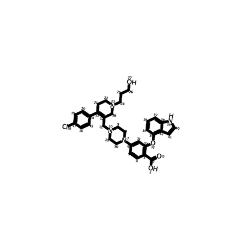 O=C(O)c1ccc(N2CCN(CC3=C(c4ccc(Cl)cc4)CCN(CCCO)C3)CC2)cc1Oc1cccc2[nH]ccc12